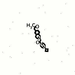 CC(=O)Cc1ccc2c(c1)CCN(CC(=O)N1CCN(C3CCC3)CC1)C2